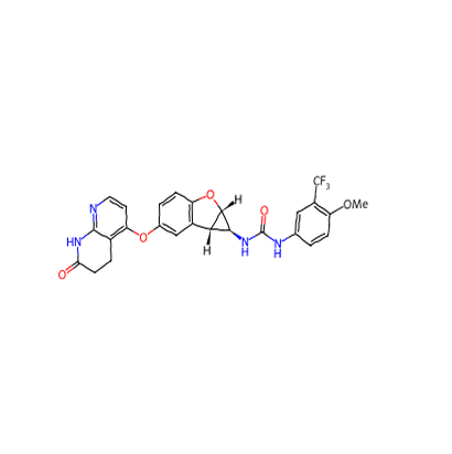 COc1ccc(NC(=O)N[C@@H]2[C@H]3Oc4ccc(Oc5ccnc6c5CCC(=O)N6)cc4[C@@H]23)cc1C(F)(F)F